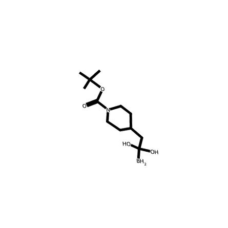 BC(O)(O)CC1CCN(C(=O)OC(C)(C)C)CC1